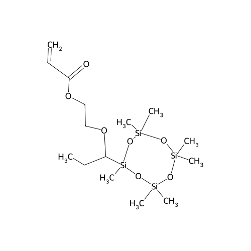 C=CC(=O)OCCOC(CC)[Si]1(C)O[Si](C)(C)O[Si](C)(C)O[Si](C)(C)O1